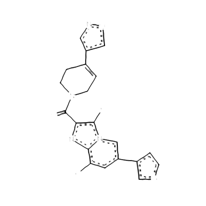 O=C(c1nc2c(C(F)(F)F)cc(-c3ccoc3)cn2c1Cl)N1CC=C(c2cnoc2)CC1